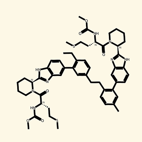 CCc1ccc(CCc2ccc(C)cc2-c2ccc3[nH]c([C@@H]4CCCCN4C(=O)[C@H](CCSC)NC(=O)OC)nc3c2)cc1-c1ccc2[nH]c([C@@H]3CCCCN3C(=O)[C@H](CCSC)NC(=O)OC)nc2c1